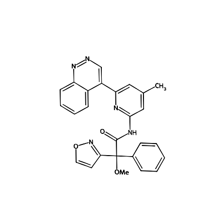 COC(C(=O)Nc1cc(C)cc(-c2cnnc3ccccc23)n1)(c1ccccc1)c1ccon1